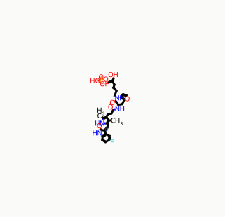 Cc1[nH]c(/C=C2\C(=O)Nc3ccc(F)cc32)c(C)c1CCC(=O)NC(Cc1ccco1)C(=O)NCCCCC(CO)COP(=O)(O)O